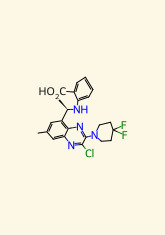 Cc1cc([C@@H](C)Nc2ccccc2C(=O)O)c2nc(N3CCC(F)(F)CC3)c(Cl)nc2c1